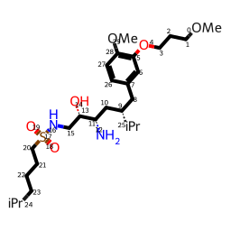 COCCCOc1cc(C[C@@H](C[C@H](N)[C@@H](O)CNS(=O)(=O)CCCCC(C)C)C(C)C)ccc1OC